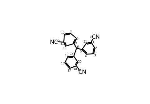 N#Cc1cccc(C(c2cccc(C#N)c2)c2cccc(C#N)c2)c1